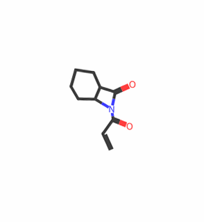 C=CC(=O)N1C(=O)C2CCCCC21